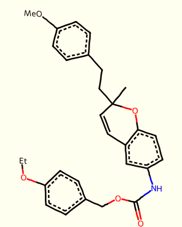 CCOc1ccc(COC(=O)Nc2ccc3c(c2)C=CC(C)(CCc2ccc(OC)cc2)O3)cc1